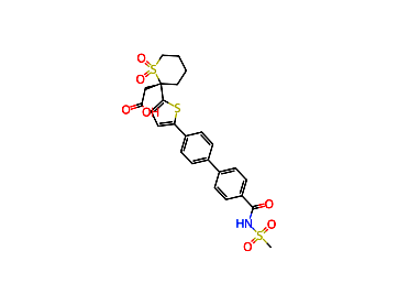 CS(=O)(=O)NC(=O)c1ccc(-c2ccc(-c3ccc([C@@]4(CC(=O)O)CCCCS4(=O)=O)s3)cc2)cc1